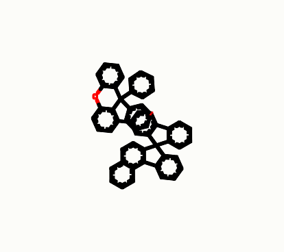 c1ccc(C2(c3ccccc3)c3ccccc3Oc3cccc(-c4ccc5c(c4)C4(c6ccccc6-5)c5ccccc5-c5c4ccc4ccccc54)c32)cc1